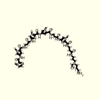 Cn1cc(NC(=O)c2nc(NC(=O)CCNC(=O)c3cc(NC(=O)c4nccn4C)cn3C)cn2C)cc1C(=O)NCCC(=O)Nc1cn(C)c(C(=O)NCCC(=O)NCCCN(CCCN)CC(F)(F)F)n1